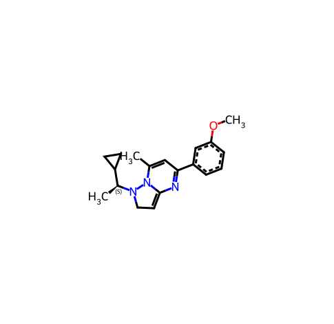 COc1cccc(C2=NC3=CCN([C@@H](C)C4CC4)N3C(C)=C2)c1